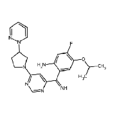 CC(C)Oc1cc(C(=N)c2cc(N3CCC(N4C=C=CC=N4)C3)ncn2)c(N)cc1F